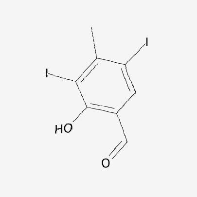 Cc1c(I)cc(C=O)c(O)c1I